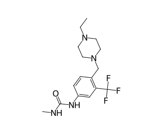 CCN1CCN(Cc2ccc(NC(=O)NC)cc2C(F)(F)F)CC1